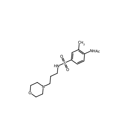 CC(=O)Nc1ccc(S(=O)(=O)NCCCN2CCOCC2)cc1C